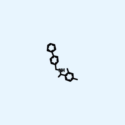 Cc1ccc(C(C)NCc2ccc(-c3ccccc3)cc2)c(C)c1